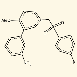 COc1ccc(CS(=O)(=O)c2ccc(F)cc2)cc1-c1cccc([N+](=O)[O-])c1